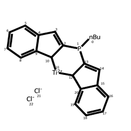 CCCCP1C2=Cc3ccccc3[CH]2[Ti+2][CH]2C1=Cc1ccccc12.[Cl-].[Cl-]